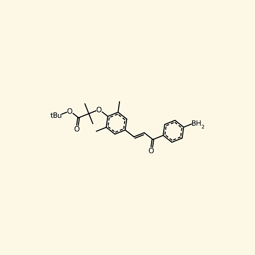 Bc1ccc(C(=O)/C=C/c2cc(C)c(OC(C)(C)C(=O)OC(C)(C)C)c(C)c2)cc1